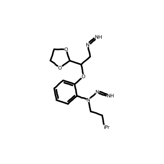 CC(C)CCN(N=N)c1c[c]ccc1OC(CN=N)C1OCCO1